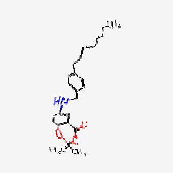 CCCCCCCCc1ccc(CNc2ccc3c(c2)C(=O)OC(C)(C)O3)cc1